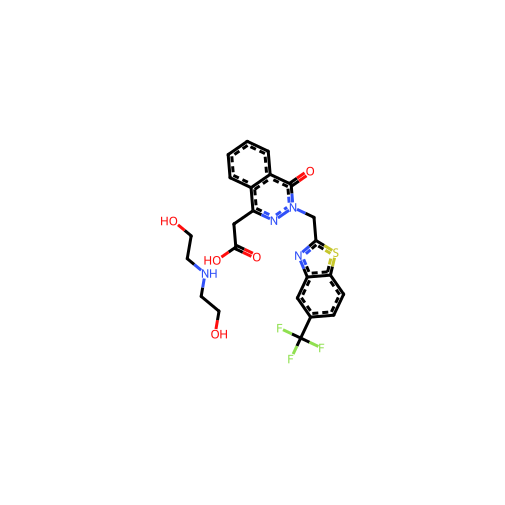 O=C(O)Cc1nn(Cc2nc3cc(C(F)(F)F)ccc3s2)c(=O)c2ccccc12.OCCNCCO